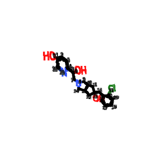 Oc1ccc(C(O)CN2CC3CC(O)(Cc4ccccc4Cl)CC3C2)nc1